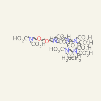 C=C.O=C(O)CN(CCN(CC(=O)O)CC(=O)O)CC(=O)O.O=C(O)CN(CCN(CC(=O)O)CC(=O)O)CC(=O)O.O=C(O)CN(CCOCCOCCN(CC(=O)O)CC(=O)O)CC(=O)O